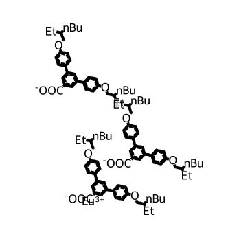 CCCCC(CC)COc1ccc(-c2cc(C(=O)[O-])cc(-c3ccc(OCC(CC)CCCC)cc3)c2)cc1.CCCCC(CC)COc1ccc(-c2cc(C(=O)[O-])cc(-c3ccc(OCC(CC)CCCC)cc3)c2)cc1.CCCCC(CC)COc1ccc(-c2cc(C(=O)[O-])cc(-c3ccc(OCC(CC)CCCC)cc3)c2)cc1.[Eu+3]